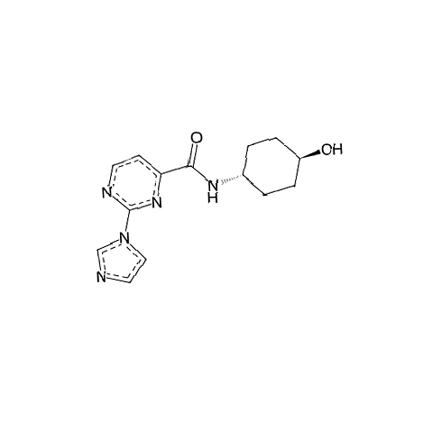 O=C(N[C@H]1CC[C@H](O)CC1)c1ccnc(-n2ccnc2)n1